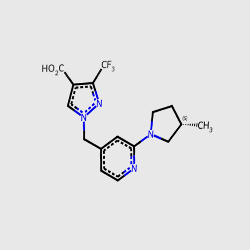 C[C@H]1CCN(c2cc(Cn3cc(C(=O)O)c(C(F)(F)F)n3)ccn2)C1